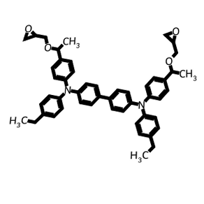 CCc1ccc(N(c2ccc(-c3ccc(N(c4ccc(CC)cc4)c4ccc(C(C)OCC5CO5)cc4)cc3)cc2)c2ccc(C(C)OCC3CO3)cc2)cc1